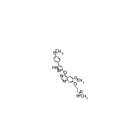 COc1ccc(-c2cc(Oc3ncnc4cc(OCCCS(C)(=O)=O)c(OC)cc34)n[nH]2)cc1